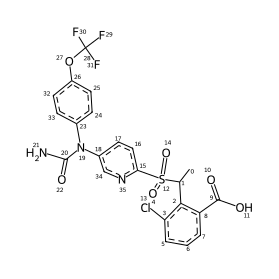 CC(c1c(Cl)cccc1C(=O)O)S(=O)(=O)c1ccc(N(C(N)=O)c2ccc(OC(F)(F)F)cc2)cn1